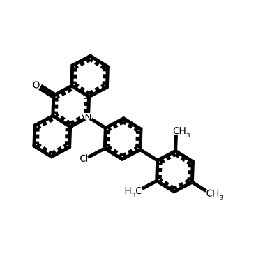 Cc1cc(C)c(-c2ccc(-n3c4ccccc4c(=O)c4ccccc43)c(Cl)c2)c(C)c1